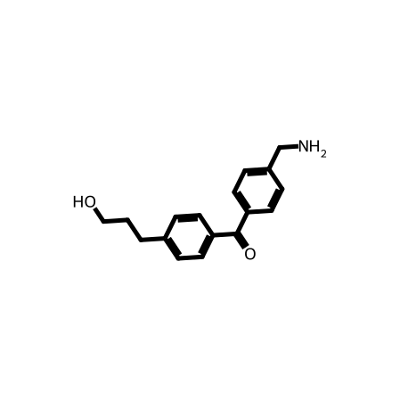 NCc1ccc(C(=O)c2ccc(CCCO)cc2)cc1